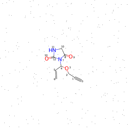 C#CCOC(C=C)N1C(=O)CNC1=O